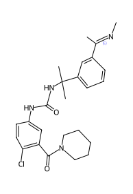 C/N=C(\C)c1cccc(C(C)(C)NC(=O)Nc2ccc(Cl)c(C(=O)N3CCCCC3)c2)c1